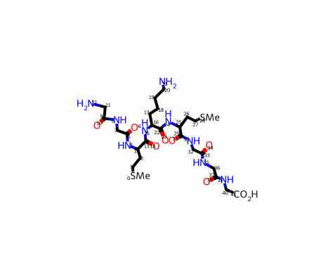 CSCCC(NC(=O)CNC(=O)CN)C(=O)NC(CCCCN)C(=O)NC(CCSC)C(=O)NCC(=O)NCC(=O)NCC(=O)O